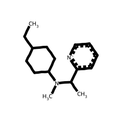 CCC1CCC(N(C)C(C)c2ccccn2)CC1